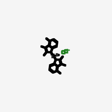 CC1=C(C)[CH]([Th+2][CH]2C(C)=C(C)c3c(C)cccc32)c2cccc(C)c21.[Cl-].[Cl-]